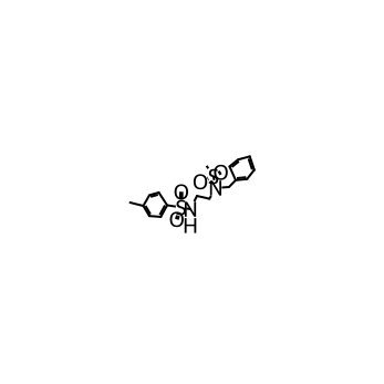 Cc1ccc(S(=O)(=O)NCCN(Cc2ccccc2)S(C)(=O)=O)cc1